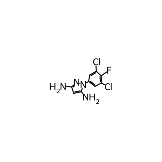 Nc1cc(N)n(-c2cc(Cl)c(F)c(Cl)c2)n1